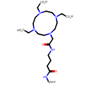 CCCCCNC(=O)CCCNC(=O)CN1CCN(CC(=O)O)CCN(CC(=O)O)CCN(CC(=O)O)CC1